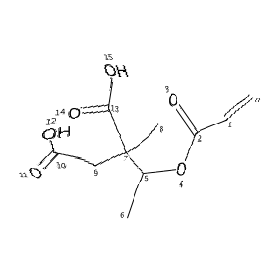 C=CC(=O)OC(C)C(C)(CC(=O)O)C(=O)O